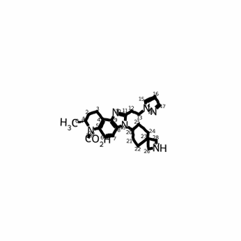 C[C@H]1CCc2c(ccc3c2nc(CCn2cccn2)n3C2CCC3(CC2)CNC3)N1C(=O)O